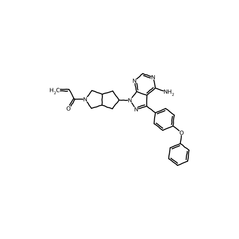 C=CC(=O)N1CC2CC(n3nc(-c4ccc(Oc5ccccc5)cc4)c4c(N)ncnc43)CC2C1